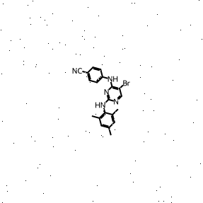 Cc1cc(C)c(Nc2ncc(Br)c(Nc3ccc(C#N)cc3)n2)c(C)c1